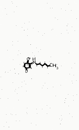 CCCCCCNC1=CC(=O)C=CC1=O